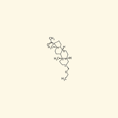 CCOC[C@H]1CC[C@]2(C)C3CC[C@@]4(C)C(CC[C@@H]4C(C)=O)[C@@H]3CC[C@@H]2C1